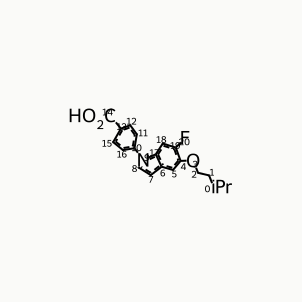 CC(C)CCOc1cc2ccn(-c3ccc(C(=O)O)cc3)c2cc1F